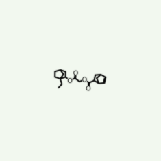 CCC12CCC(CC1OC(=O)COC(=O)C1CC3C=CC1C3)C2